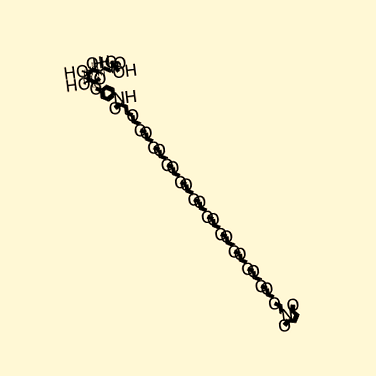 O=C(CCOCCOOCCOOCCOOCCOOCCOOCCOOCCOOCCOOCCOOCCOOCCOCCN1C(=O)C=CC1=O)Nc1ccc(O[C@H]2O[C@H](CCP(=O)(O)O)[C@@H](O)[C@H](O)[C@@H]2O)cc1